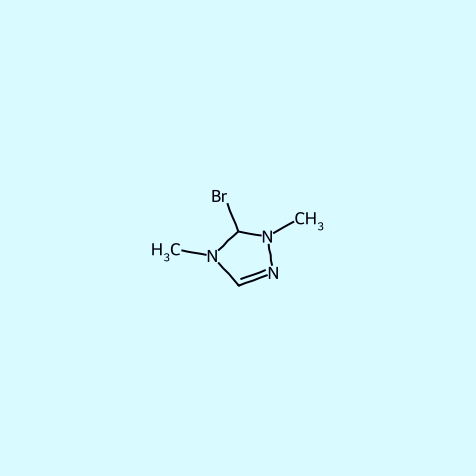 CN1C=NN(C)C1Br